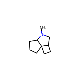 CN1CC2CCC23CCCC13